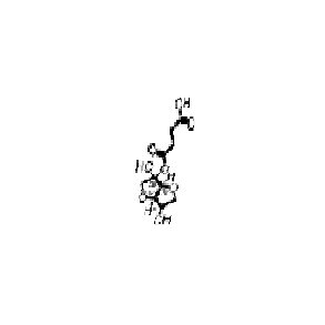 O=C(O)CCC(=O)O[C@@]1(O)CO[C@@H]2[C@H](O)CO[C@@H]21